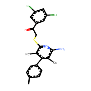 Cc1ccc(-c2c(C#N)c(N)nc(SCC(=O)c3cc(Cl)cc(Cl)c3)c2C#N)cc1